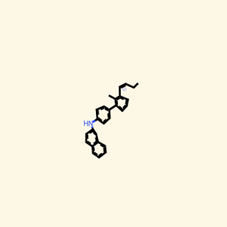 CC/C=C\c1cccc(-c2ccc(Nc3ccc4ccccc4c3)cc2)c1C